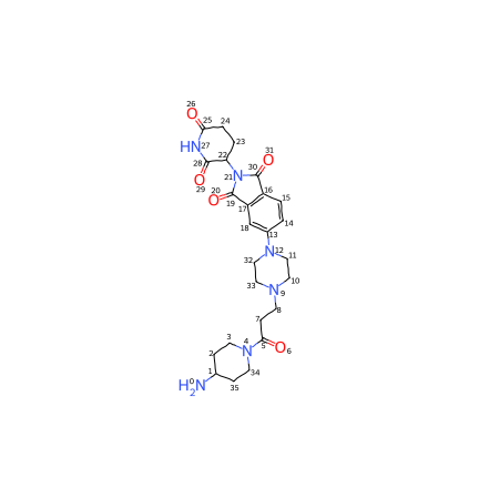 NC1CCN(C(=O)CCN2CCN(c3ccc4c(c3)C(=O)N(C3CCC(=O)NC3=O)C4=O)CC2)CC1